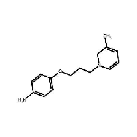 CC1=CC=CN(CCCOc2ccc(N)cc2)C1